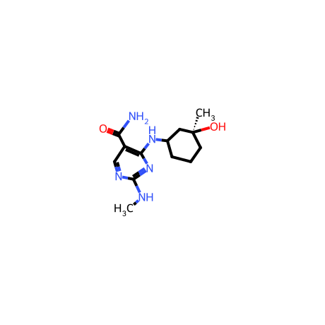 CNc1ncc(C(N)=O)c(NC2CCC[C@](C)(O)C2)n1